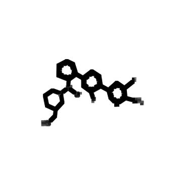 Nc1ncc(-c2ccc(-c3ccccc3[S+]([O-])N3CCCC(CO)C3)cc2F)cc1F